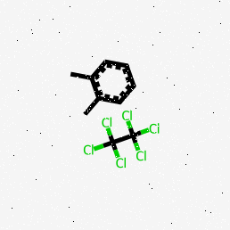 Cc1ccccc1C.ClC(Cl)(Cl)C(Cl)(Cl)Cl